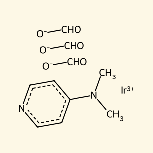 CN(C)c1ccncc1.O=C[O-].O=C[O-].O=C[O-].[Ir+3]